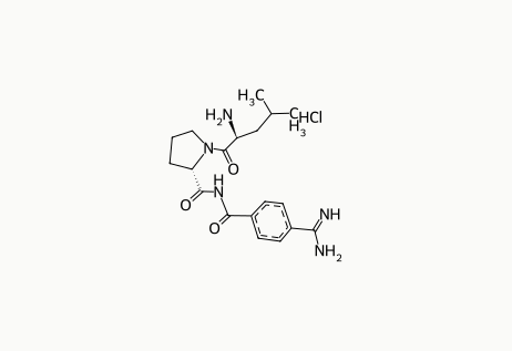 CC(C)C[C@H](N)C(=O)N1CCC[C@H]1C(=O)NC(=O)c1ccc(C(=N)N)cc1.Cl